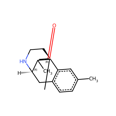 Cc1ccc2c(c1)[C@]13CCN[C@H](C2)C1(C)CCC(=O)C3